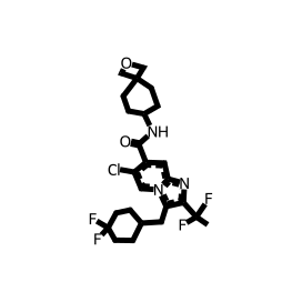 CC(F)(F)c1nc2cc(C(=O)NC3CCC4(CC3)COC4)c(Cl)cn2c1CC1CCC(F)(F)CC1